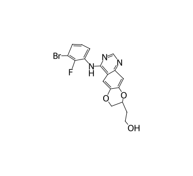 OCCC1COc2cc3c(Nc4cccc(Br)c4F)ncnc3cc2O1